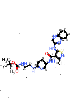 Cc1nsc(Nc2cnc3ccccc3n2)c1C(=O)Nc1ccc(NCCNC(=O)OC(C)(C)C)nc1